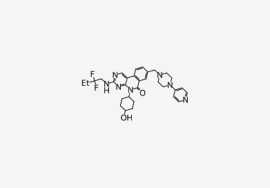 CCC(F)(F)CNc1ncc2c3ccc(CN4CCN(c5ccncc5)CC4)cc3c(=O)n(C3CCC(O)CC3)c2n1